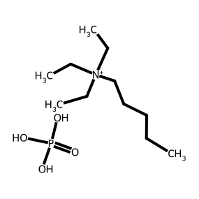 CCCCC[N+](CC)(CC)CC.O=P(O)(O)O